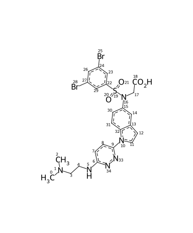 CN(C)CCNc1ccc(-n2ccc3cc(N(CC(=O)O)S(=O)(=O)c4cc(Br)cc(Br)c4)ccc32)nn1